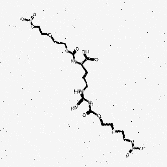 N=C(NCCCC(NC(=O)OCCOCCO[N+](=O)[O-])C(=O)O)NC(=O)OCCOCCO[N+](=O)[O-]